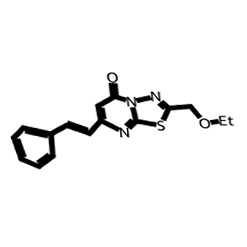 CCOCc1nn2c(=O)cc(/C=C/c3ccccc3)nc2s1